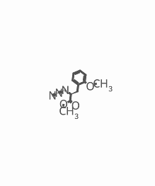 COC(=O)[C@H](Cc1ccccc1OC)N=[N+]=[N-]